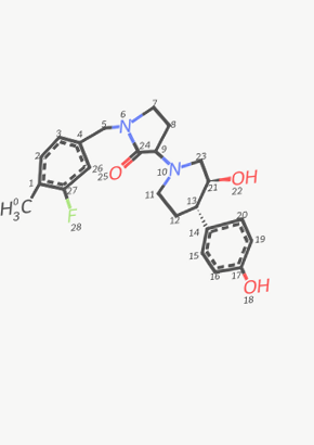 Cc1ccc(CN2CCC(N3CC[C@@H](c4ccc(O)cc4)[C@H](O)C3)C2=O)cc1F